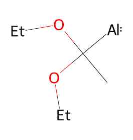 CCO[C](C)([Al])OCC